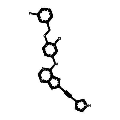 Fc1cccc(COc2ccc(Nc3ncnc4cc(C#Cc5c[nH]cn5)sc34)cc2Cl)c1